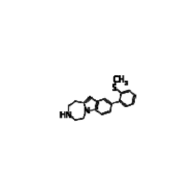 CSc1ccccc1-c1ccc2c(c1)cc1n2CCNCC1